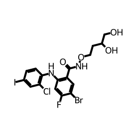 O=C(NOCCC(O)CO)c1cc(Br)c(F)cc1Nc1ccc(I)cc1Cl